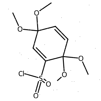 COC1(OC)C=CC(OC)(OC)C(S(=O)(=O)Cl)=C1